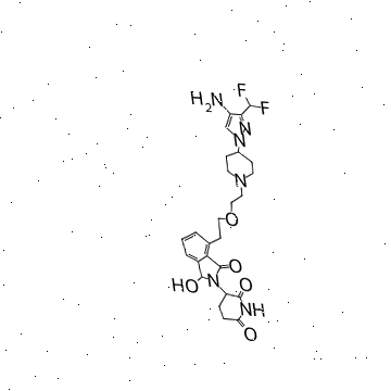 Nc1cn(C2CCN(CCOCCc3cccc4c3C(=O)N(C3CCC(=O)NC3=O)C4O)CC2)nc1C(F)F